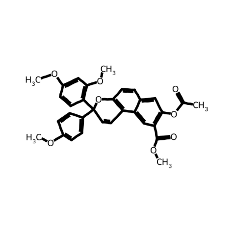 COC(=O)c1cc2c3c(ccc2cc1OC(C)=O)OC(c1ccc(OC)cc1)(c1ccc(OC)cc1OC)C=C3